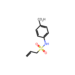 C=CCS(=O)(=O)Nc1ccc(C(=O)O)cc1